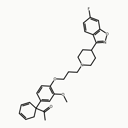 COc1cc(C2(C(C)=O)C=CC=CC2)ccc1OCCCN1CCC(c2noc3cc(F)ccc23)CC1